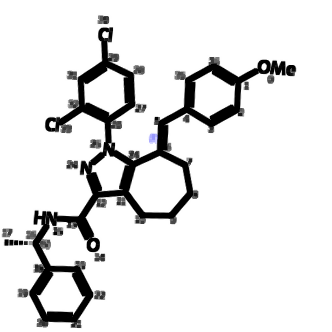 COc1ccc(/C=C2\CCCCc3c(C(=O)N[C@@H](C)c4ccccc4)nn(-c4ccc(Cl)cc4Cl)c32)cc1